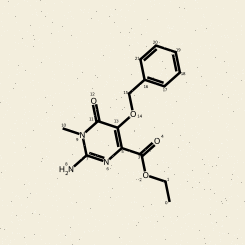 CCOC(=O)c1nc(N)n(C)c(=O)c1OCc1ccccc1